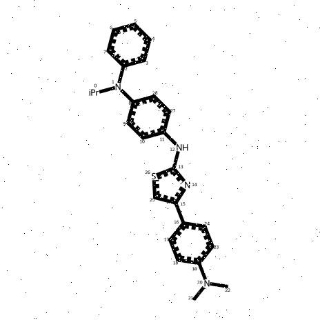 CC(C)N(c1ccccc1)c1ccc(Nc2nc(-c3ccc(N(C)C)cc3)cs2)cc1